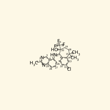 Cc1ncc2c(NC3c4ccc(Cl)cc4C(C)(C)CCC3(O)C(F)(F)F)cccc2n1